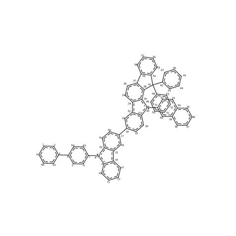 c1ccc(-c2ccc(-n3c4ccccc4c4cc(-c5ccc6c(c5)c5ccc7c(c5n6-c5ccc6ccccc6c5)C(c5ccccc5)(c5ccccc5)c5ccccc5-7)ccc43)cc2)cc1